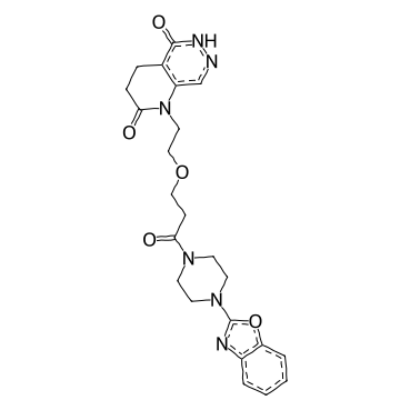 O=C(CCOCCN1C(=O)CCc2c1cn[nH]c2=O)N1CCN(c2nc3ccccc3o2)CC1